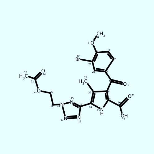 COc1ccc(C(=O)c2c(C(=O)O)[nH]c(-c3nnn(CCOC(C)=O)n3)c2C)cc1Br